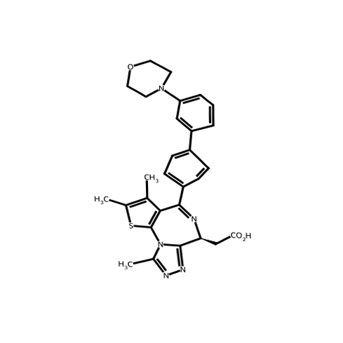 Cc1sc2c(c1C)C(c1ccc(-c3cccc(N4CCOCC4)c3)cc1)=N[C@@H](CC(=O)O)c1nnc(C)n1-2